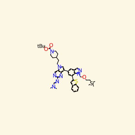 CN(C)C=Nc1ncc2c(n1)c(-c1cc(-c3cc4ccccc4s3)c3c(cnn3COCC[Si](C)(C)C)c1)cn2CCC1CCN(C(=O)OC(C)(C)C)CC1